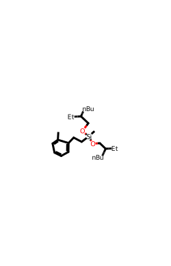 CCCCC(CC)CO[Si](C)(CCc1ccccc1C)OCC(CC)CCCC